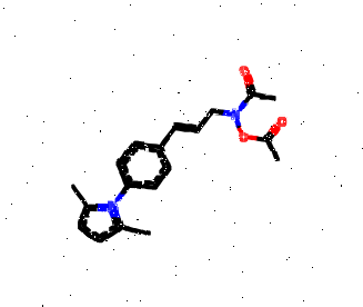 CC(=O)ON(C/C=C/c1ccc(-n2c(C)ccc2C)cc1)C(C)=O